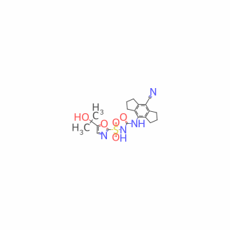 CC(C)(O)c1cnc(S(=O)(=O)NC(=O)Nc2c3c(c(C#N)c4c2CCC4)CCC3)o1